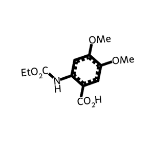 CCOC(=O)Nc1cc(OC)c(OC)cc1C(=O)O